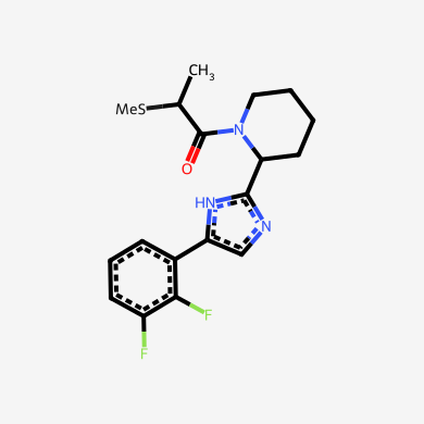 CSC(C)C(=O)N1CCCCC1c1ncc(-c2cccc(F)c2F)[nH]1